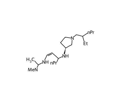 CCCC(CC)CN1CC[C@H](NC(/C=C\NC(C)NC)CCC)C1